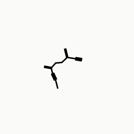 C#CC(=C)CCC(=C)C#CC